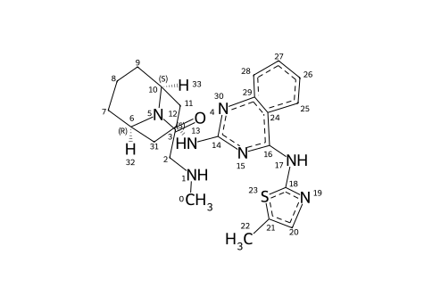 CNCC(=O)N1[C@@H]2CCC[C@H]1C[C@H](Nc1nc(Nc3ncc(C)s3)c3ccccc3n1)C2